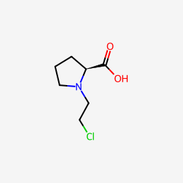 O=C(O)[C@@H]1CCCN1CCCl